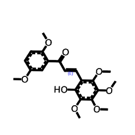 COc1ccc(OC)c(C(=O)/C=C/c2c(O)c(OC)c(OC)c(OC)c2OC)c1